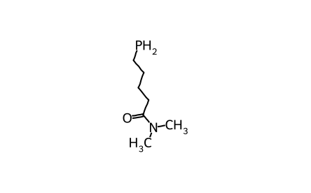 CN(C)C(=O)CCCCP